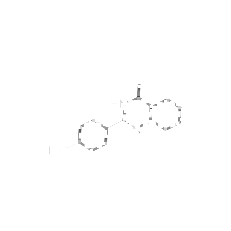 O=c1[nH]c(-c2ccc(O)cc2)nc2ccccc12